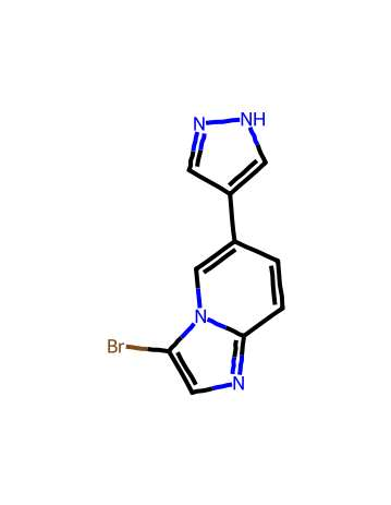 Brc1cnc2ccc(-c3cn[nH]c3)cn12